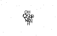 O=C1CN2C3C[C@@]45c6c(ccc(O)c6O[C@H]14)C[C@H]2[C@@H]35